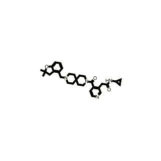 CC1(C)Cc2c(CN3CCC4(CC3)CCN(C(=O)c3ccncc3CC(=O)NC3CC3)CC4)cccc2O1